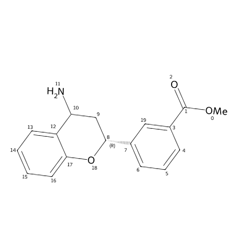 COC(=O)c1cccc([C@H]2CC(N)c3ccccc3O2)c1